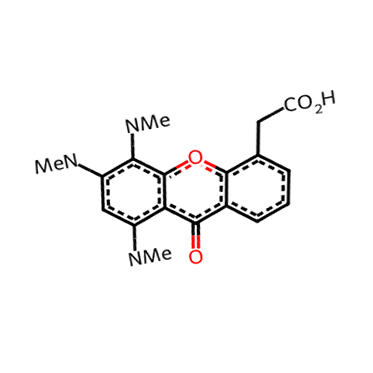 CNc1cc(NC)c2c(=O)c3cccc(CC(=O)O)c3oc2c1NC